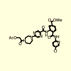 COC(=O)c1ccc(C(=O)Nc2ccc(Cl)cn2)c(NC(=O)c2cnc(N3CCCN(C(=O)COC(C)=O)CC3)cn2)c1